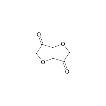 O=C1COC2C(=O)COC12